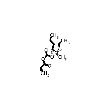 C=CC(=O)OC(C)O[Si](C)(CCCC)OCC